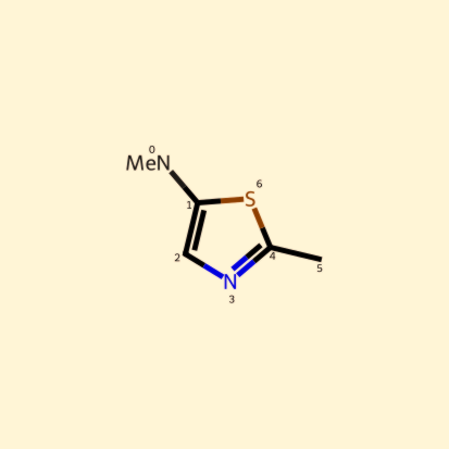 CNc1cnc(C)s1